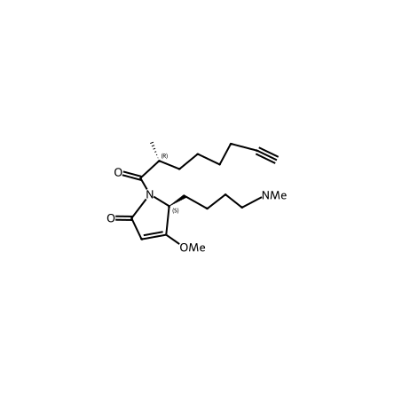 C#CCCCC[C@@H](C)C(=O)N1C(=O)C=C(OC)[C@@H]1CCCCNC